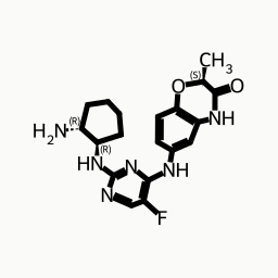 C[C@@H]1Oc2ccc(Nc3nc(N[C@@H]4CCCC[C@H]4N)ncc3F)cc2NC1=O